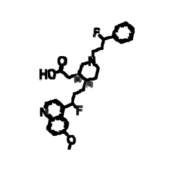 COc1ccc2nccc(C(F)CC[C@@H]3CCN(CCC(F)c4ccccc4)C[C@@H]3CC(=O)O)c2c1